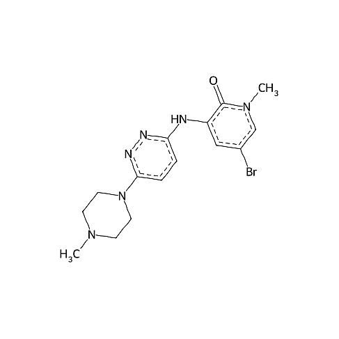 CN1CCN(c2ccc(Nc3cc(Br)cn(C)c3=O)nn2)CC1